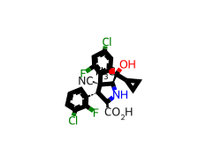 CC(O)(C1CC1)[C@H]1N[C@@H](C(=O)O)[C@H](c2cccc(Cl)c2F)[C@@]1(C#N)c1ccc(Cl)cc1F